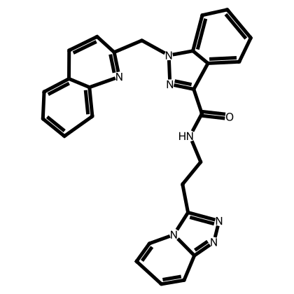 O=C(NCCc1nnc2ccccn12)c1nn(Cc2ccc3ccccc3n2)c2ccccc12